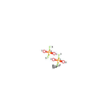 O=P([O-])(F)F.O=P([O-])(F)F.[Ba+2]